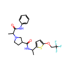 CC(NC(=O)C1CCN(C(C)C(=O)Nc2ccccc2)C1)c1ccc(OCC(F)(F)F)s1